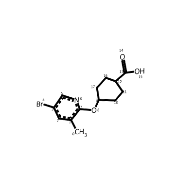 Cc1cc(Br)cnc1OC1CCC(C(=O)O)CC1